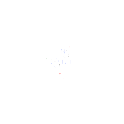 CCOC(=O)Cc1cnc(Cl)nc1Nc1ccc(OC2CCCC2)nc1